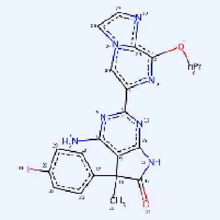 CCCOc1nc(-c2nc(N)c3c(n2)NC(=O)C3(C)c2ccc(I)cc2)cn2ccnc12